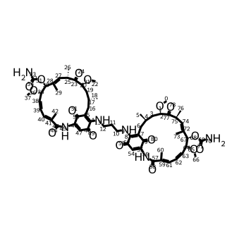 CO[C@H]1C[C@H](C)CC2=C(NCCCNC3=C4C[C@@H](C)C[C@H](OC)C(=O)[C@@H](C)/C=C(\C)[C@H](OC(N)=O)[C@@H](OC)/C=C\C=C(/C)C(=O)NC(=CC3=O)C4=O)C(=O)C=C(NC(=O)/C(C)=C/C=C\[C@H](OC)[C@@H](OC(N)=O)/C(C)=C/[C@H](C)C1=O)C2=O